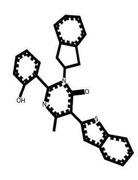 Cc1nc(-c2ccccc2O)n(C2Cc3ccccc3C2)c(=O)c1-c1cc2ccccc2s1